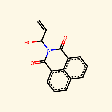 C=CC(O)N1C(=O)c2cccc3cccc(c23)C1=O